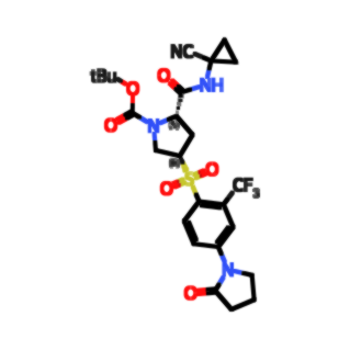 CC(C)(C)OC(=O)N1C[C@H](S(=O)(=O)c2ccc(N3CCCC3=O)cc2C(F)(F)F)C[C@H]1C(=O)NC1(C#N)CC1